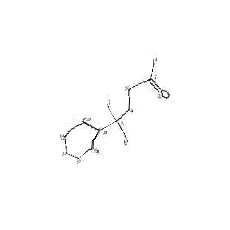 CC(=O)CCC(C)(C)[C]1CCCCC1